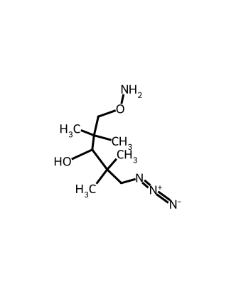 CC(C)(CN=[N+]=[N-])C(O)C(C)(C)CON